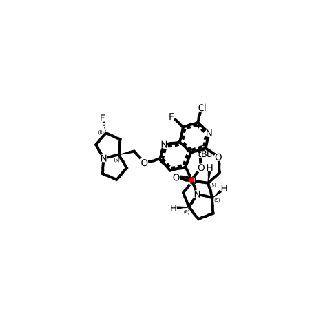 CC(C)(C)OC(=O)N1[C@@H]2CC[C@H]1[C@H]1COc3nc(Cl)c(F)c4nc(OC[C@@]56CCCN5C[C@H](F)C6)cc(c34)N1C2